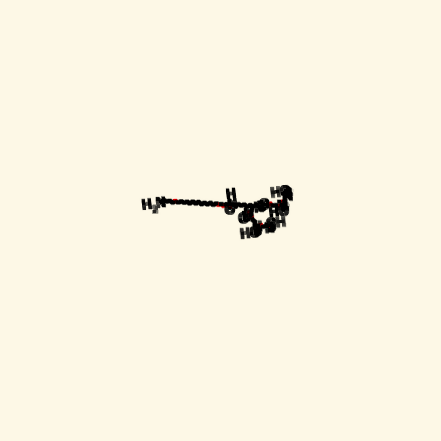 CB(O)N(C)CCCN(CCCCCO/B=N\CC(CCCCCCNC(=O)CCCCCCCCCCCCCCCCCCCCCCCN)C/N=C(/B=O)CCCCN(CCCN(C)B(C)O)B(C)O)B(C)O